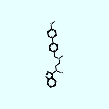 COc1ccc(-c2ccc(CN(C)CCC(N)c3nsc4ccccc34)cc2)cc1